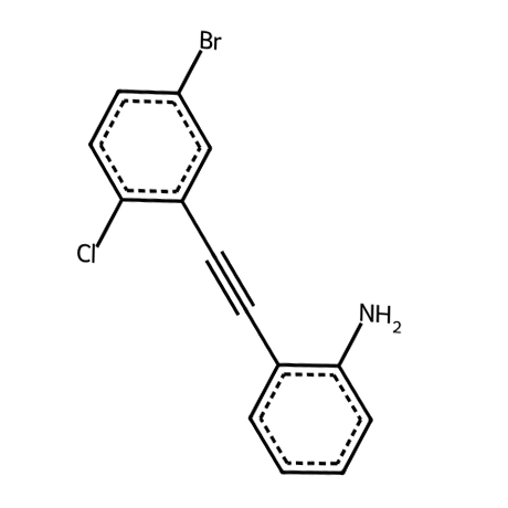 Nc1ccccc1C#Cc1cc(Br)ccc1Cl